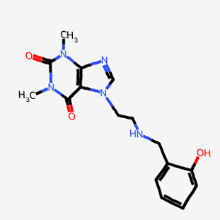 Cn1c(=O)c2c(ncn2CCNCc2ccccc2O)n(C)c1=O